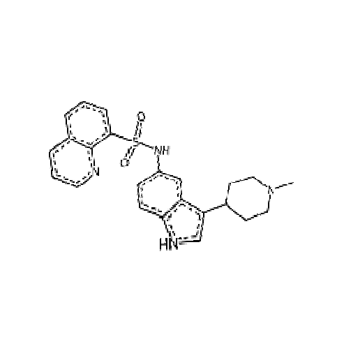 CN1CCC(c2c[nH]c3ccc(NS(=O)(=O)c4cccc5cccnc45)cc23)CC1